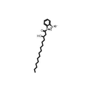 CCCCCCCCCCCCCC(O)CC(=O)n1n[n+]([O-])c2ccccc21